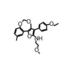 CCOc1ccc(-c2c(NCCOC)oc3c2COCOc2ccc(C)cc2-3)cc1